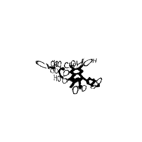 C[C@H]1OC(Oc2c3c(c(-c4ccc5c(c4)OCO5)c4cc(CO)c(CO)cc24)C(=O)OC3)[C@H](O)[C@@H](OC(=O)C(Cl)(Cl)Cl)[C@@H]1O